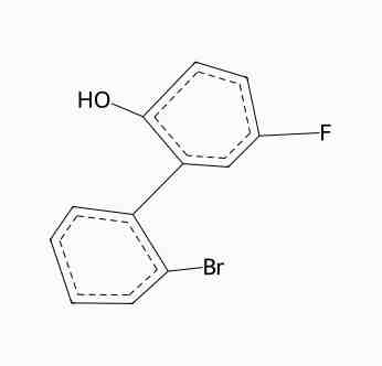 Oc1ccc(F)cc1-c1ccccc1Br